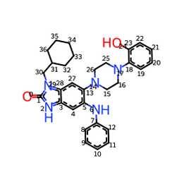 O=c1[nH]c2cc(Nc3ccccc3)c(N3CCN(c4ccccc4O)CC3)cc2n1CC1CCCCC1